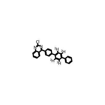 [2H]c1c([2H])c(-c2ccc(-c3nc(Cl)nc4ccccc34)cc2)c([2H])c([2H])c1-c1ccccc1